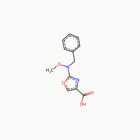 CON(Cc1ccccc1)c1nc(C(=O)O)co1